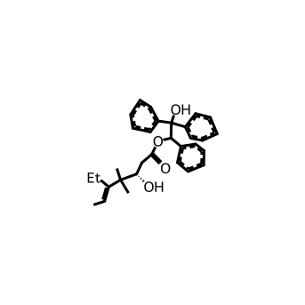 CC=C(CC)C(C)(C)[C@@H](O)CC(=O)OC(c1ccccc1)C(O)(c1ccccc1)c1ccccc1